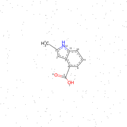 Cc1cc2c(C(=O)O)cccc2[nH]1